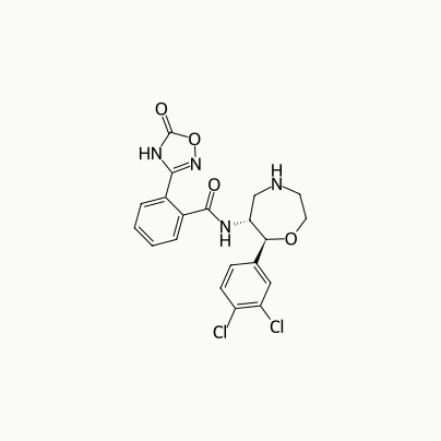 O=C(N[C@@H]1CNCCO[C@H]1c1ccc(Cl)c(Cl)c1)c1ccccc1-c1noc(=O)[nH]1